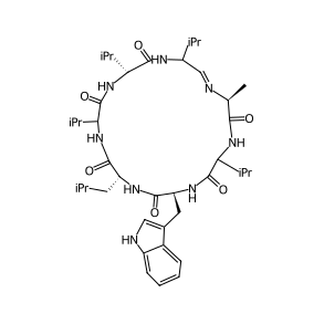 CC(C)C[C@H]1NC(=O)[C@H](Cc2c[nH]c3ccccc23)NC(=O)C(C(C)C)NC(=O)[C@H](C)/N=C/C(C(C)C)NC(=O)[C@@H](C(C)C)NC(=O)C(C(C)C)NC1=O